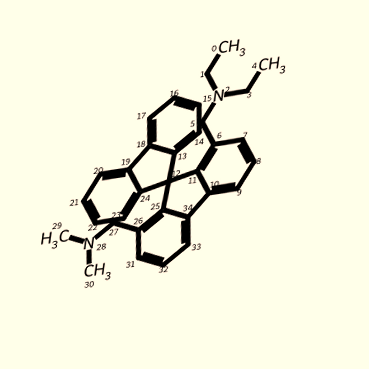 CCN(CC)Cc1cccc2c1C1(c3ccccc3-c3ccccc31)c1c(CN(C)C)cccc1-2